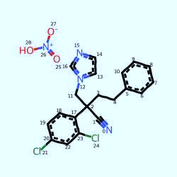 N#CC(CCc1ccccc1)(Cn1ccnc1)c1ccc(Cl)cc1Cl.O=[N+]([O-])O